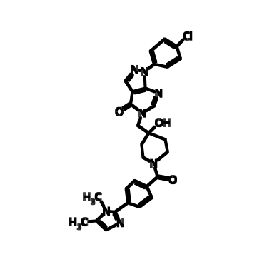 Cc1cnc(-c2ccc(C(=O)N3CCC(O)(Cn4cnc5c(cnn5-c5ccc(Cl)cc5)c4=O)CC3)cc2)n1C